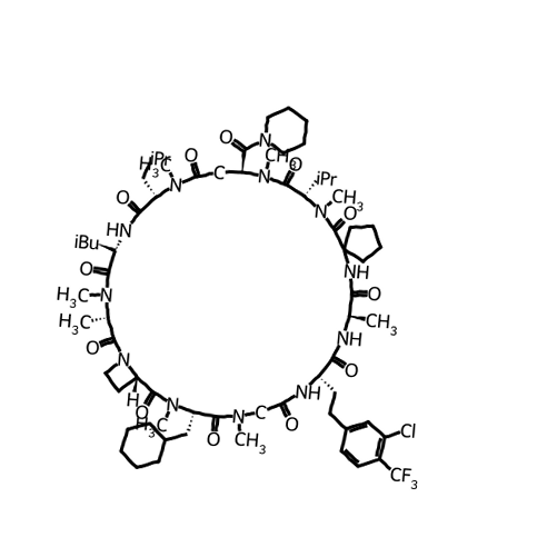 CC[C@H](C)[C@@H]1NC(=O)[C@H](CC(C)C)N(C)C(=O)C[C@@H](C(=O)N2CCCCC2)N(C)C(=O)[C@H](C(C)C)N(C)C(=O)C2(CCCC2)NC(=O)[C@@H](C)NC(=O)[C@H](CCc2ccc(C(F)(F)F)c(Cl)c2)NC(=O)CN(C)C(=O)[C@H](CC2CCCCC2)N(C)C(=O)[C@@H]2CCN2C(=O)[C@H](C)N(C)C1=O